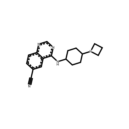 N#Cc1ccc2ncnc(NC3CCC(N4CCC4)CC3)c2c1